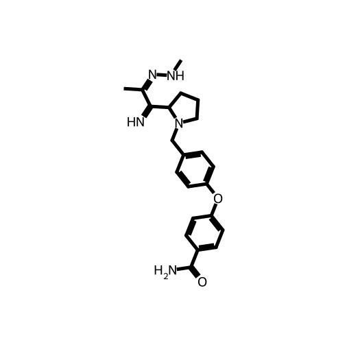 CN/N=C(/C)C(=N)C1CCCN1Cc1ccc(Oc2ccc(C(N)=O)cc2)cc1